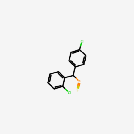 S=PC(c1ccc(Cl)cc1)c1ccccc1Cl